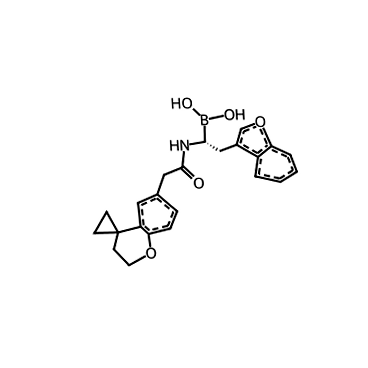 O=C(Cc1ccc2c(c1)C1(CCO2)CC1)N[C@@H](Cc1coc2ccccc12)B(O)O